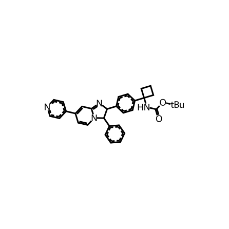 CC(C)(C)OC(=O)NC1(c2ccc(C3N=C4C=C(c5ccncc5)C=CN4C3c3ccccc3)cc2)CCC1